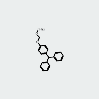 CCCCCCOCOc1ccc([C](c2ccccc2)c2ccccc2)cc1